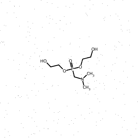 CN(C)CP(=O)(OCCO)OCCO